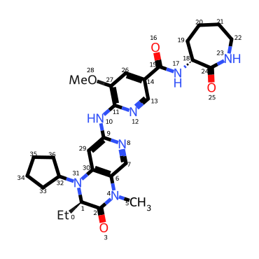 CC[C@@H]1C(=O)N(C)c2cnc(Nc3ncc(C(=O)N[C@@H]4CCCCNC4=O)cc3OC)cc2N1C1CCCC1